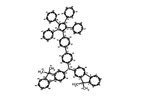 CC1(C)c2ccccc2-c2ccc(N(c3ccc(-c4ccc(-c5c(-c6ccccc6)c(-c6ccccc6)c(-c6ccccc6)n5-c5ccccc5)cc4)cc3)c3ccc4c(c3)C(C)(C)c3ccccc3-4)cc21